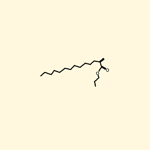 C=C(CCCCCCCCCCCC)C(=O)OCCC